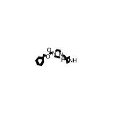 O=C(OCc1ccccc1)N1CCN(CC2(F)CNC2)CC1